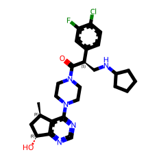 C[C@@H]1C[C@@H](O)c2ncnc(N3CCN(C(=O)[C@H](CNC4CCCC4)c4ccc(Cl)c(F)c4)CC3)c21